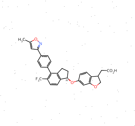 Cc1cc(-c2ccc(-c3c(C(F)(F)F)ccc4c3CC[C@H]4Oc3ccc4c(c3)OCC4CC(=O)O)cc2)no1